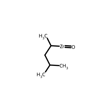 CC(C)C[CH](C)[Zr]=[O]